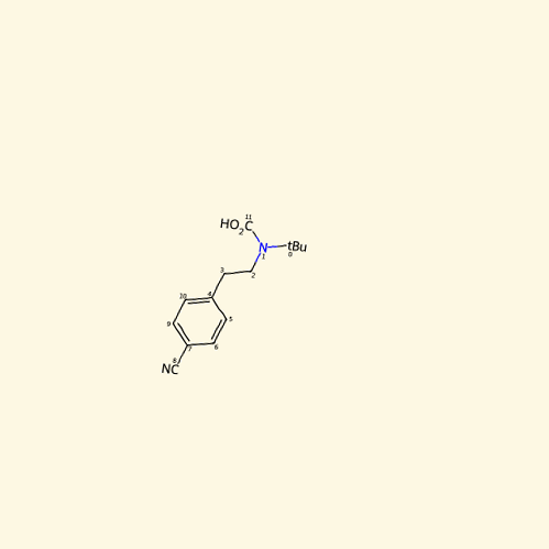 CC(C)(C)N(CCc1ccc(C#N)cc1)C(=O)O